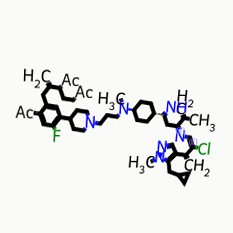 C=C(C)/C(CC(=N)[C@H]1CC[C@H](N(C)CCCN2CCC(c3cc(CC(=C)C(CCC(C)=O)C(C)=O)c(C(C)=O)cc3F)CC2)CC1)=N\C=C(\Cl)C(=C)c1cnn(C)c1CC1CC1